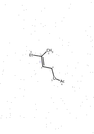 [CH2]C/C(C)=C/COC(C)=O